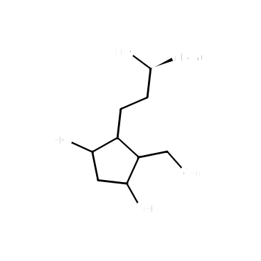 CCCCC[C@H](O)CCC1C(O)CC(O)C1CC=O